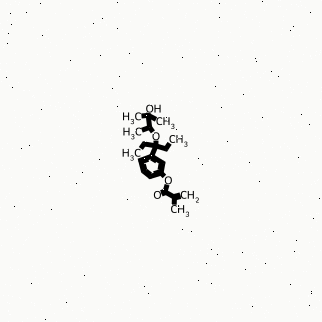 C=C(C)C(=O)Oc1cccc(C(CC)(CC)OC(C)C(C)(C)O)c1